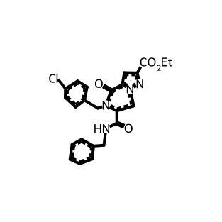 CCOC(=O)c1cc2c(=O)n(Cc3ccc(Cl)cc3)c(C(=O)NCc3ccccc3)cn2n1